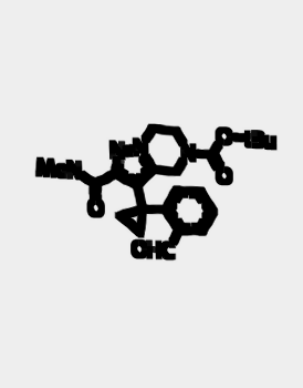 CNC(=O)c1nn2c(c1C1(c3ccccc3C=O)CC1)CN(C(=O)OC(C)(C)C)CC2